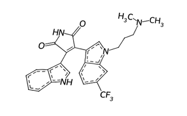 CN(C)CCCn1cc(C2=C(c3c[nH]c4ccccc34)C(=O)NC2=O)c2ccc(C(F)(F)F)cc21